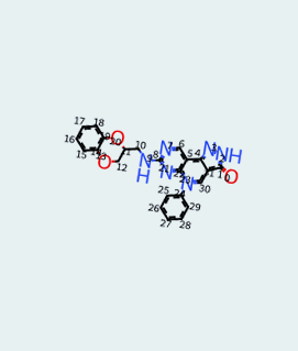 O=c1[nH]nc2c3cnc(NCC4COc5ccccc5O4)nc3n(-c3ccccc3)cc1-2